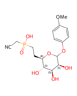 COc1ccc(OC2O[C@H](CCP(=O)(O)CC#N)[C@@H](O)[C@H](O)[C@@H]2O)cc1